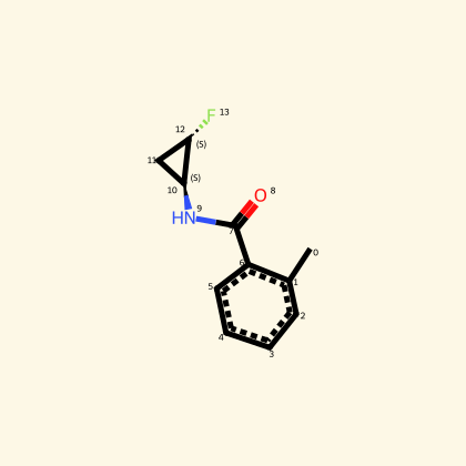 Cc1ccccc1C(=O)N[C@H]1C[C@@H]1F